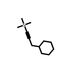 C[Si](C)(C)C#CCC1CCCCC1